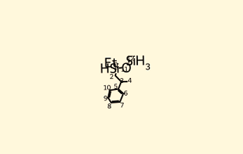 CC[SiH](CC(C)c1ccccc1)O[SiH3]